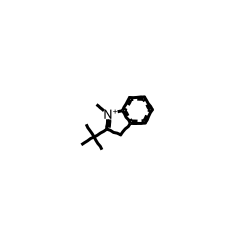 C[N+]1=C(C(C)(C)C)Cc2ccccc21